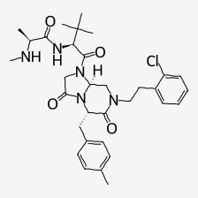 CN[C@@H](C)C(=O)N[C@H](C(=O)N1CC(=O)N2[C@@H]1CN(CCc1ccccc1Cl)C(=O)[C@@H]2Cc1ccc(C)cc1)C(C)(C)C